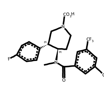 CN(C(=O)c1cc(C(F)(F)F)cc(C(F)(F)F)c1)[C@@H]1CCN(C(=O)O)C[C@H]1c1ccc(F)cc1